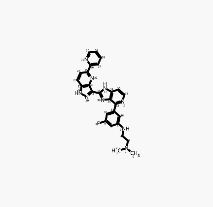 CN(C)CCNc1cc(F)cc(-c2nccc3[nH]c(-c4n[nH]c5ccc(-c6ccccn6)nc45)nc23)c1